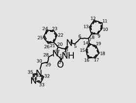 O=C1NC(=NCCC(c2ccccc2)c2ccccc2)C(c2ccccc2)N1CCCn1ccnc1